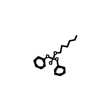 CCCCCCOP(=O)(Oc1ccccc1)Oc1ccccc1